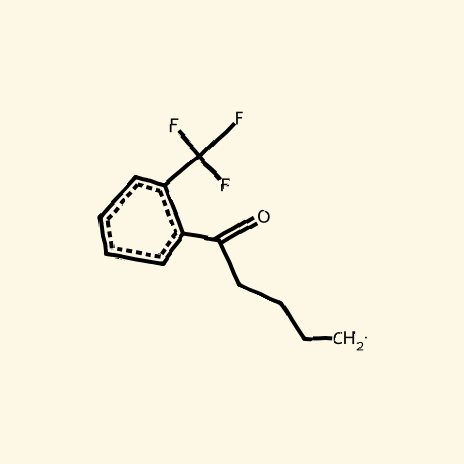 [CH2]CCCC(=O)c1ccccc1C(F)(F)F